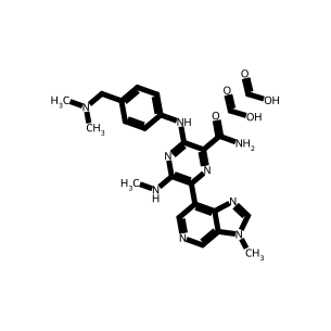 CNc1nc(Nc2ccc(CN(C)C)cc2)c(C(N)=O)nc1-c1cncc2c1ncn2C.O=CO.O=CO